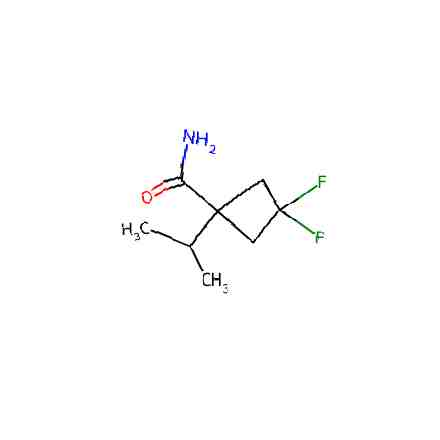 CC(C)C1(C(N)=O)CC(F)(F)C1